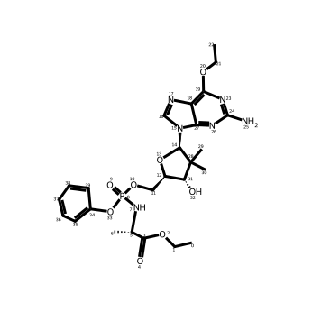 CCOC(=O)[C@H](C)NP(=O)(OC[C@H]1O[C@@H](n2cnc3c(OCC)nc(N)nc32)C(C)(C)[C@@H]1O)Oc1ccccc1